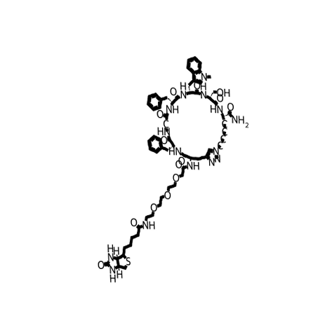 Cn1cc(C[C@H]2NC(=O)[C@@H](Cc3ccccc3)NC(=O)CNC(=O)[C@@H](Cc3ccccc3)NC(=O)[C@@H](NC(=O)COCCOCCOCCNC(=O)CCCCC3SC[C@H]4NC(=O)N[C@@H]34)Cc3cn(nn3)CCCC[C@@H](C(N)=O)NC(=O)[C@@H](CO)NC2=O)c2ccccc21